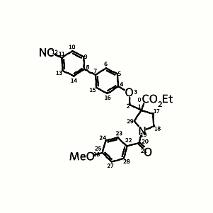 CCOC(=O)C1(COc2ccc(-c3ccc(C#N)cc3)cc2)CCN(C(=O)c2ccc(OC)cc2)C1